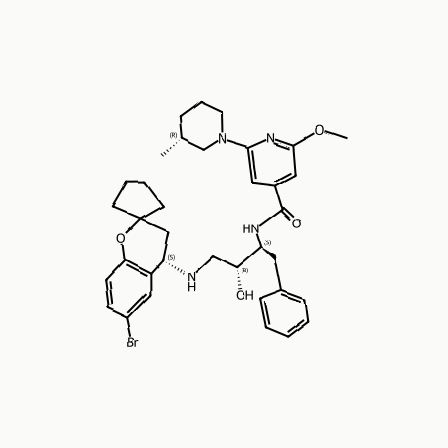 COc1cc(C(=O)N[C@@H](Cc2ccccc2)[C@H](O)CN[C@H]2CC3(CCCC3)Oc3ccc(Br)cc32)cc(N2CCC[C@@H](C)C2)n1